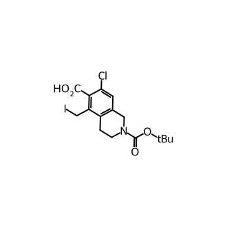 CC(C)(C)OC(=O)N1CCc2c(cc(Cl)c(C(=O)O)c2CI)C1